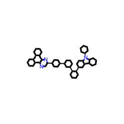 c1ccc(-n2c3ccccc3c3cc(-c4ccccc4-c4cccc(-c5ccc(-c6cnc7c8ccccc8c8ccccc8c7n6)cc5)c4)ccc32)cc1